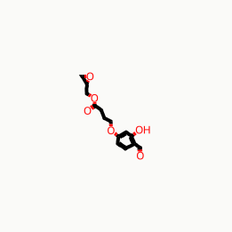 O=Cc1ccc(OCCCC(=O)OCC2CO2)cc1O